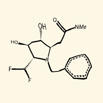 CNC(=O)C[C@@H]1[C@@H](O)[C@H](O)[C@@H](C(F)F)N1Cc1ccccc1